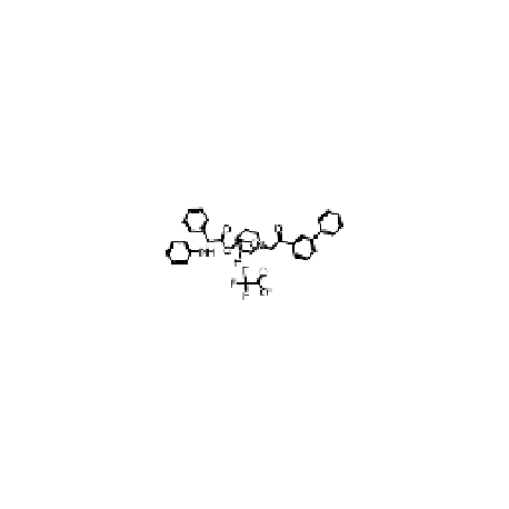 O=C(C[N+]12CCC(CC1)[C@@H](OC(=O)[C@H](Nc1ccccc1)c1ccccc1)C2)c1cccc(-c2ccccc2)c1.O=C([O-])C(F)(F)F